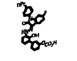 CCCc1ccc(N2C(=O)C(=NNc3cccc(-c4cccc(OC(=O)O)c4)c3O)c3ccc(F)cc32)cc1